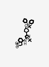 CC(C)(C)n1nc(C2CCC(O[Si](c3ccccc3)(c3ccccc3)C(C)(C)C)CC2)cc1Nc1cccc2c1CCS2(=O)=O